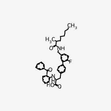 CCCCCCC(C)C(=O)NCc1ccc(F)c(-c2ccc(CC(Nc3ccccc3C(=O)c3ccccc3)C(=O)O)cc2)c1